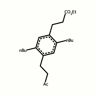 CCCCc1cc(CCC(=O)OCC)c(CCCC)cc1CCC(C)=O